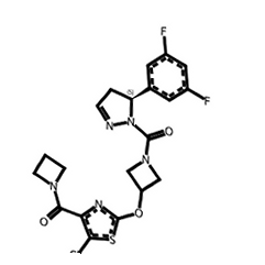 O=C(c1nc(OC2CN(C(=O)N3N=CC[C@H]3c3cc(F)cc(F)c3)C2)sc1Cl)N1CCC1